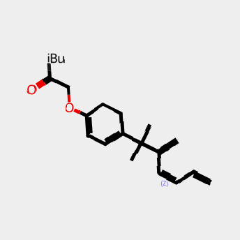 C=C/C=C\C(=C)C(C)(C)C1=CC=C(OCC(=O)C(C)CC)CC1